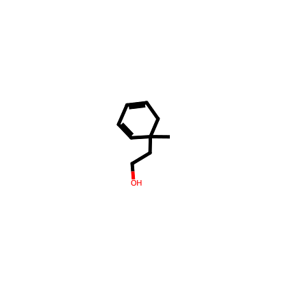 CC1(CCO)C=CC=CC1